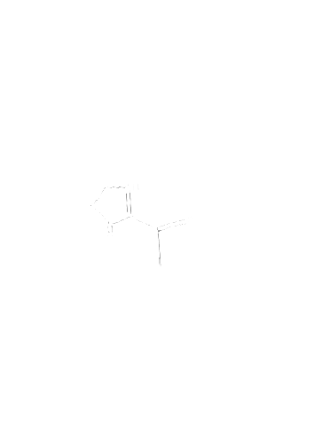 CC(=O)C1=[SH]CCN1